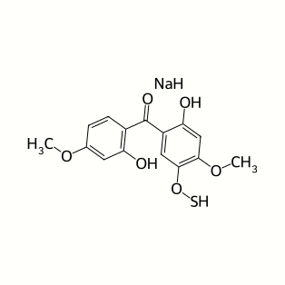 COc1ccc(C(=O)c2cc(OS)c(OC)cc2O)c(O)c1.[NaH]